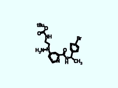 C[C@@H](NC(=O)c1cc(N(N)CCNC(=O)OC(C)(C)C)ccn1)c1ccc(Br)cc1